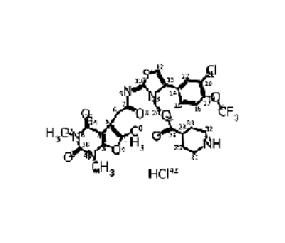 Cc1oc2c(c1CC(=O)N=c1scc(-c3ccc(OC(F)(F)F)c(Cl)c3)n1COC(=O)C1CCNCC1)c(=O)n(C)c(=O)n2C.Cl